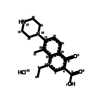 CCn1cc(C(=O)O)c(=O)c2ccc(N3CCNCC3)c(C)c21.Cl